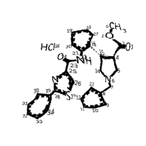 COC(=O)[C@H]1CN(Cc2ccccc2)C[C@@H]1c1ccccc1NC(=O)c1csc(-c2ccccc2)n1.Cl